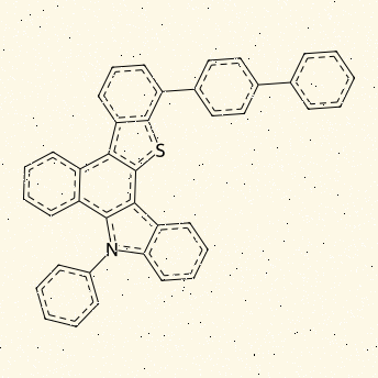 c1ccc(-c2ccc(-c3cccc4c3sc3c4c4ccccc4c4c3c3ccccc3n4-c3ccccc3)cc2)cc1